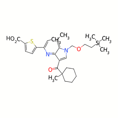 CC=C1/C(=N\C(=C/C)c2ccc(C(=O)O)s2)C(C(=O)C2(C)CCCCC2)=CN1COCC[Si](C)(C)C